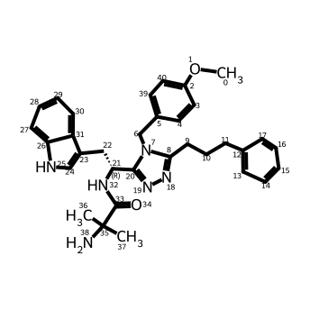 COc1ccc(Cn2c(CCCc3ccccc3)nnc2[C@@H](Cc2c[nH]c3ccccc23)NC(=O)C(C)(C)N)cc1